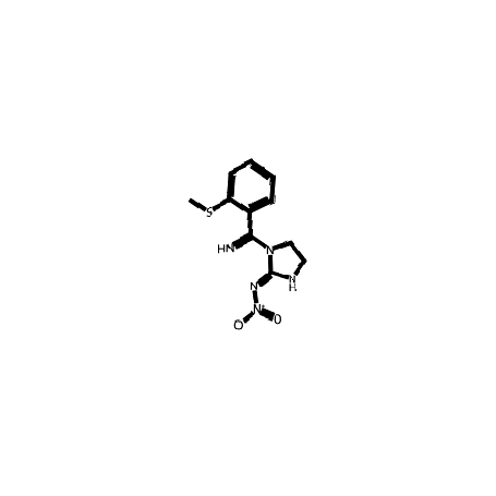 CSc1ccccc1C(=N)N1CCNC1=N[N+](=O)[O-]